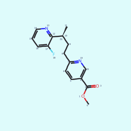 COC(=O)c1ccc(CC[C@H](C)c2ncccc2F)nc1